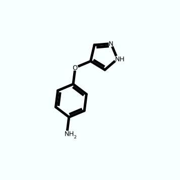 Nc1ccc(Oc2cn[nH]c2)cc1